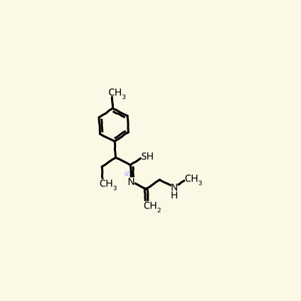 C=C(CNC)/N=C(\S)C(CC)c1ccc(C)cc1